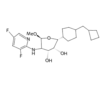 CO[C@H]1O[C@H](C2CCC(CC3CCC3)CC2)[C@H](O)[C@H](O)C1Nc1ncc(F)cc1F